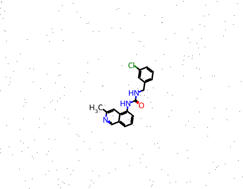 Cc1cc2c(NC(=O)NCc3cccc(Cl)c3)cccc2cn1